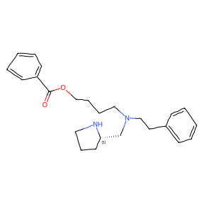 O=C(OCCCCN(CCc1ccccc1)C[C@@H]1CCCN1)c1ccccc1